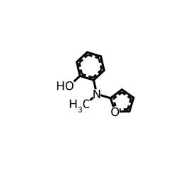 CN(c1ccco1)c1ccccc1O